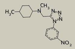 CC1CCC(N(C)Cc2nnnn2-c2cccc([N+](=O)[O-])c2)CC1